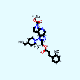 C[C@@H](OC(=O)CCc1ccccc1N=O)c1nc2cnc3c(ccn3C(=O)OC(C)(C)C)c2n1N1CCC(CC#N)CC1